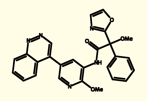 COc1ncc(-c2cnnc3ccccc23)cc1NC(=O)C(OC)(c1ccccc1)c1ncco1